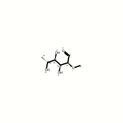 CO[C@H](C=O)[C@@H](O)[C@H](O)[C@@H](C)O